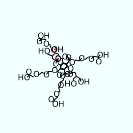 O=C(O)COCCOCCOC(=O)c1c(OC(=O)CC(CO)CO)c(C(=O)OCCOCCOCC(=O)O)c(C(=O)OCCOCCOCC(=O)O)c(OC(=O)CC(CO)CO)c1C(=O)OCCOCCOCC(=O)O